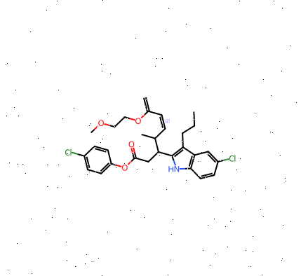 C=C(/C=C\C(C)C(CC(=O)Oc1ccc(Cl)cc1)c1[nH]c2ccc(Cl)cc2c1CCC)OCCOC